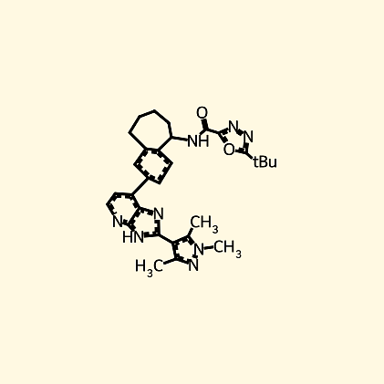 Cc1nn(C)c(C)c1-c1nc2c(-c3ccc4c(c3)CCCCC4NC(=O)c3nnc(C(C)(C)C)o3)ccnc2[nH]1